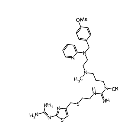 COc1ccc(CN(CCN(C)CCCN(C#N)C(=N)NCCSCc2csc(N=C(N)N)n2)c2ccccn2)cc1